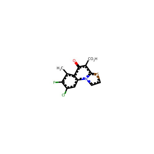 Cc1c(F)c(Cl)cc2c1c(=O)c(C(=O)O)c1sccn12